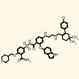 CC1(C)CCC(CNCCNc2ccc(C(=O)NS(=O)(=O)c3ccc(OCC4CCOCC4)c(C(N)=O)c3)c(Oc3ccc4[nH]ccc4c3)c2)=C(c2ccc(Cl)cc2)C1